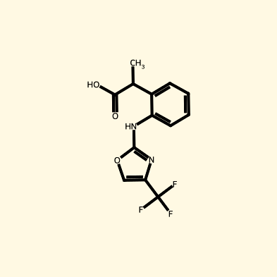 CC(C(=O)O)c1ccccc1Nc1nc(C(F)(F)F)co1